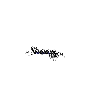 CC=CC(C)C/C(C)=C/CC/C(C)=C/CC/C(C)=C/CNC(=O)C(CC)[PH](=O)O